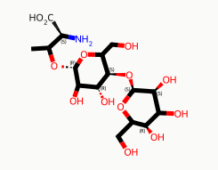 CC(O[C@@H]1OC(CO)[C@@H](O[C@@H]2OC(CO)[C@H](O)C(O)[C@@H]2O)[C@H](O)C1O)[C@H](N)C(=O)O